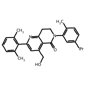 Cc1ccc(C(C)C)cc1N1CCc2nc(-c3c(C)cccc3C)cc(CO)c2C1=O